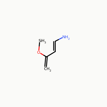 C=C(C=CN)O[SiH3]